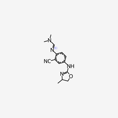 CC1COC(Nc2ccc(/N=C/N(C)C)c(C#N)c2)=N1